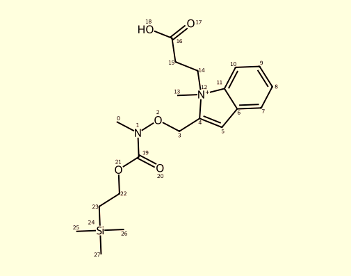 CN(OCC1=Cc2ccccc2[N+]1(C)CCC(=O)O)C(=O)OCC[Si](C)(C)C